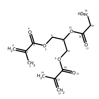 C=C(C)C(=O)OCC(COC(=O)C(=C)C)OC(=O)CCCCCCCCCCC